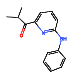 CC(C)C(=O)c1cccc(Nc2ccccc2)n1